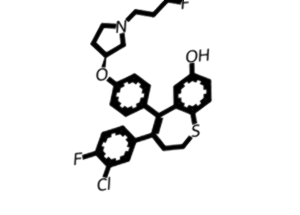 Oc1ccc2c(c1)C(c1ccc(O[C@H]3CCN(CCCF)C3)cc1)=C(c1ccc(F)c(Cl)c1)CCS2